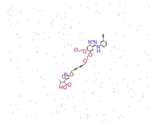 C#Cc1cccc(Nc2ncnc3cc(OCCOC)c(OCCOCC#CC#CCOc4cc(C(C(=O)O)C(C)C)on4)cc23)c1